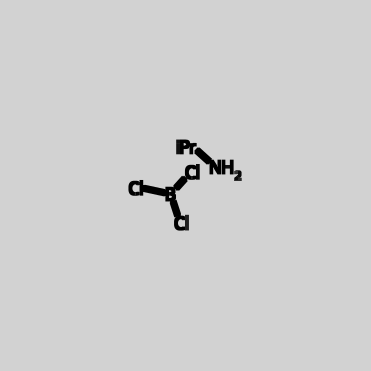 CC(C)N.ClB(Cl)Cl